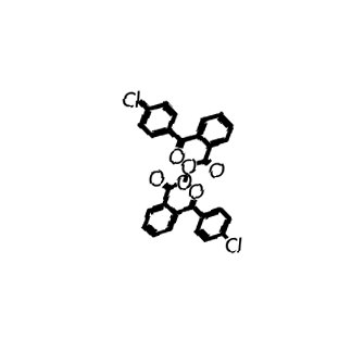 O=C(OOC(=O)c1ccccc1C(=O)c1ccc(Cl)cc1)c1ccccc1C(=O)c1ccc(Cl)cc1